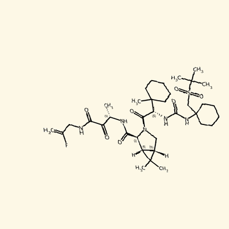 C=C(F)CNC(=O)C(=O)[C@H](C)NC(=O)[C@@H]1[C@@H]2[C@H](CN1C(=O)[C@@H](NC(=O)NC1(CS(=O)(=O)C(C)(C)C)CCCCC1)C1(C)CCCCC1)C2(C)C